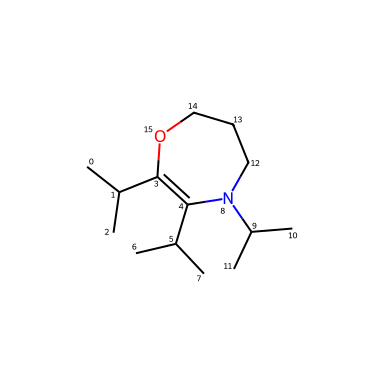 CC(C)C1=C(C(C)C)N(C(C)C)CCCO1